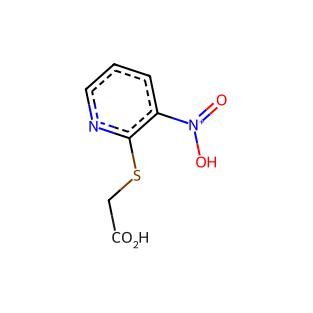 O=C(O)CSc1ncccc1[N+](=O)O